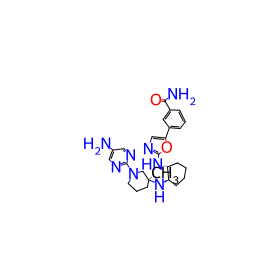 C[C@]1(N[C@@H]2CCCC[C@H]2Nc2ncc(-c3cccc(C(N)=O)c3)o2)CCCN(c2ncc(N)cn2)C1